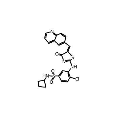 O=C1N=C(Nc2cc(S(=O)(=O)NC3CCC3)ccc2Cl)SC1=Cc1ccc2ncccc2c1